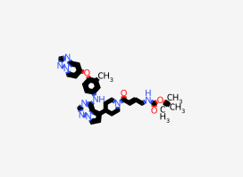 Cc1cc(Nc2ncnn3ccc(C4CCN(C(=O)/C=C/CNC(=O)OC(C)(C)C)CC4)c23)ccc1Oc1ccn2ncnc2c1